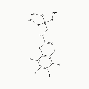 CCCO[Si](CNC(=O)Oc1c(F)c(F)c(F)c(F)c1F)(OCCC)OCCC